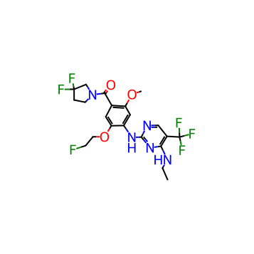 CCNc1nc(Nc2cc(OC)c(C(=O)N3CCC(F)(F)C3)cc2OCCF)ncc1C(F)(F)F